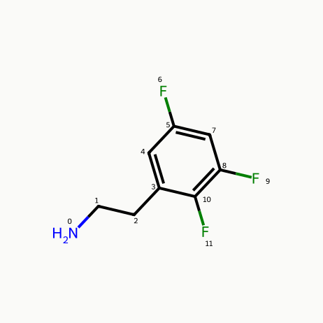 NCCc1cc(F)cc(F)c1F